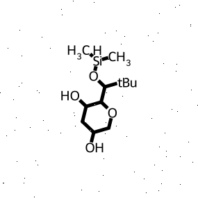 C[SiH](C)OC(C1OCC(O)CC1O)C(C)(C)C